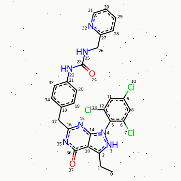 CCc1[nH]n(-c2c(Cl)cc(Cl)cc2Cl)c2nc(Cc3ccc(NC(=O)NCc4ccccn4)cc3)nc(=O)c1-2